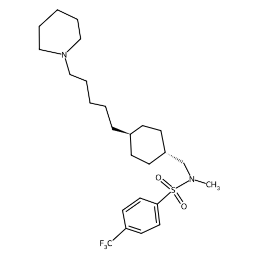 CN(C[C@H]1CC[C@H](CCCCCN2CCCCC2)CC1)S(=O)(=O)c1ccc(C(F)(F)F)cc1